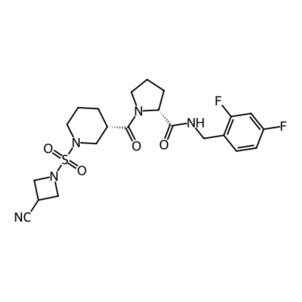 N#CC1CN(S(=O)(=O)N2CCC[C@H](C(=O)N3CCC[C@@H]3C(=O)NCc3ccc(F)cc3F)C2)C1